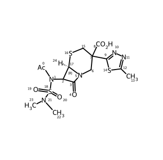 CC(=O)N(C1C(=O)N2CC(C(=O)O)(c3nnc(C)s3)CS[C@H]12)S(=O)(=O)N(C)C